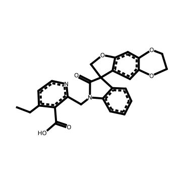 CCc1ccnc(CN2C(=O)C3(COc4cc5c(cc43)OCCO5)c3ccccc32)c1C(=O)O